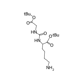 CC(C)(C)OC(=O)CNC(=O)NC(CCCCN)C(=O)OC(C)(C)C